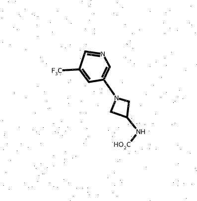 O=C(O)NC1CN(c2cncc(C(F)(F)F)c2)C1